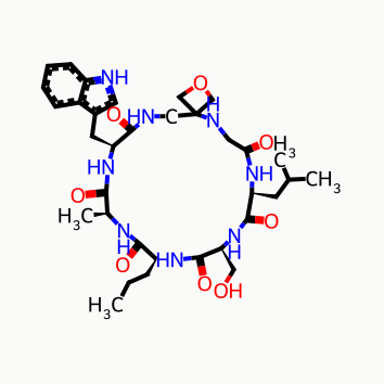 CCC[C@@H]1NC(=O)[C@H](CO)NC(=O)[C@H](CC(C)C)NC(=O)CNC2(CNC(=O)[C@H](Cc3c[nH]c4ccccc34)NC(=O)[C@H](C)NC1=O)COC2